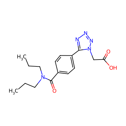 CCCN(CCC)C(=O)c1ccc(-c2nnnn2CC(=O)O)cc1